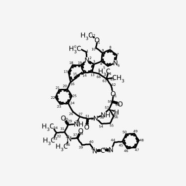 CCn1c(-c2cnccc2COC)c2c3cc(ccc31)-c1cccc(c1)C[C@H](NC(=O)C(C(C)C)N(C)C(=O)CCN=C=NCc1ccccc1)C(=O)N1CCC[C@H](N1)C(=O)OCC(C)(C)C2